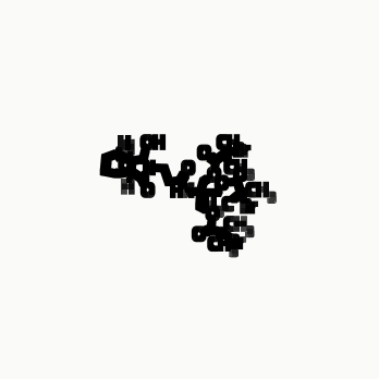 CC(C)(Br)C(=O)OCC(COC(=O)C(C)(C)Br)(COC(=O)C(C)(C)Br)NC(=O)CCN1C(=O)[C@H]2C3C=C[C@@H](O3)[C@H]2C1O